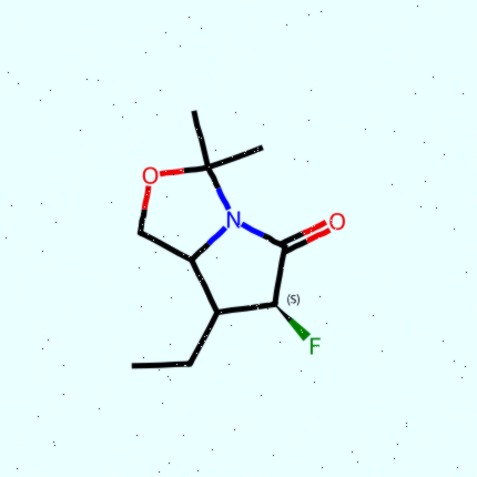 CCC1C2COC(C)(C)N2C(=O)[C@H]1F